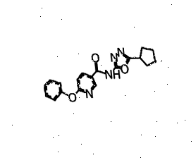 O=C(Nc1nnc(C2CCCC2)o1)c1ccc(Oc2ccccc2)nc1